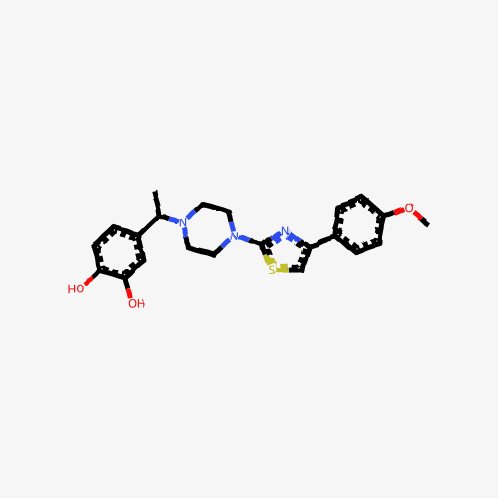 COc1ccc(-c2csc(N3CCN(C(C)c4ccc(O)c(O)c4)CC3)n2)cc1